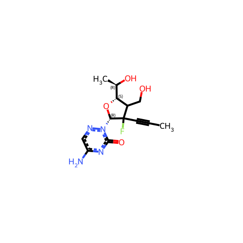 CC#CC1(F)C(CO)[C@@H]([C@@H](C)O)O[C@H]1n1ncc(N)nc1=O